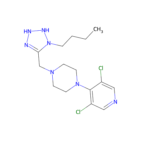 CCCCN1NNN=C1CN1CCN(c2c(Cl)cncc2Cl)CC1